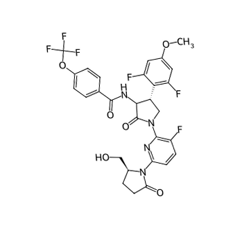 COc1cc(F)c([C@@H]2CN(c3nc(N4C(=O)CC[C@H]4CO)ccc3F)C(=O)C2NC(=O)c2ccc(OC(F)(F)F)cc2)c(F)c1